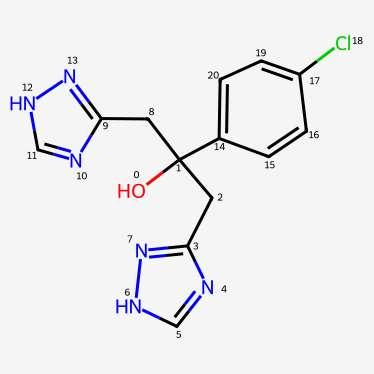 OC(Cc1nc[nH]n1)(Cc1nc[nH]n1)c1ccc(Cl)cc1